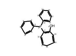 OC1=C(P(c2ccccc2)c2ccccc2)C=CCC=C1